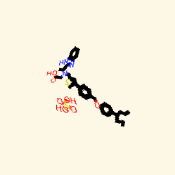 CCCC(CCC)c1ccc(OCc2ccc(-c3csc(CN(CC(=O)O)C(C)c4nc5ccccc5[nH]4)c3)cc2)cc1.O=S(=O)(O)O